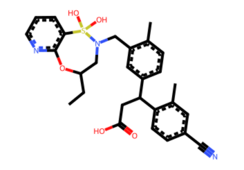 CCC1CN(Cc2cc(C(CC(=O)O)c3ccc(C#N)cc3C)ccc2C)S(O)(O)c2cccnc2O1